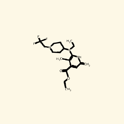 C=C1C=C(C(=O)OCC)C(C)=C(N(CC)C2CCN(CC(F)(F)F)CC2)N1